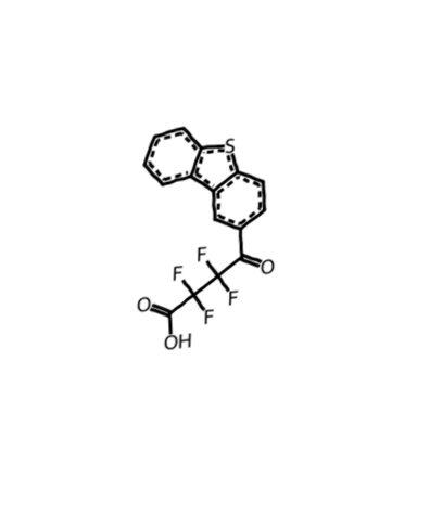 O=C(O)C(F)(F)C(F)(F)C(=O)c1ccc2sc3ccccc3c2c1